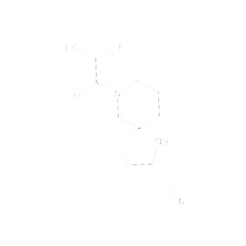 CC(C)C(=O)N1CCCC2(C1)N[C@H](C#N)CS2